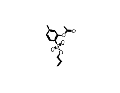 CCCOS(=O)(=O)c1ccc(C)cc1OC(C)=O